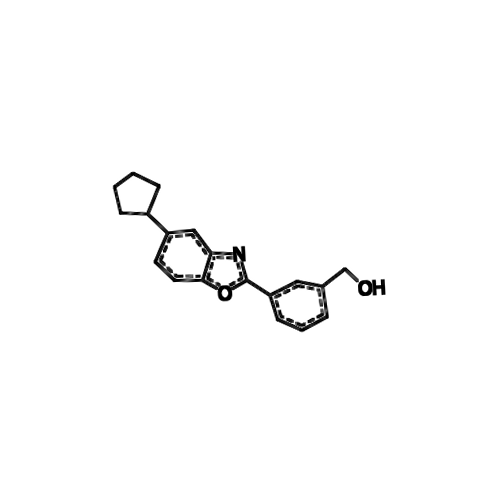 OCc1cccc(-c2nc3cc(C4CCCC4)ccc3o2)c1